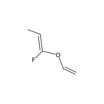 C=COC(F)=CC